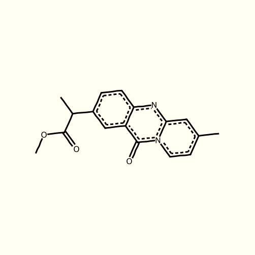 COC(=O)C(C)c1ccc2nc3cc(C)ccn3c(=O)c2c1